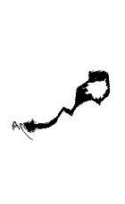 CC(=O)C=CC=Cc1ccccc1